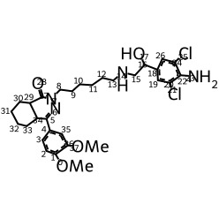 COc1ccc(C2=NN(CCCCCCNCC(O)c3cc(Cl)c(N)c(Cl)c3)C(=O)C3CCCCC23)cc1OC